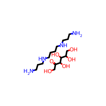 NCCCNCCCCNCCCN.O=C(CO)C(O)C(O)C(O)CO